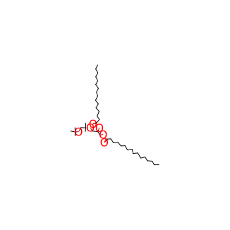 CCCCCCCCCCCCCCCC(=O)OCC(COC(C)(C)COC(C)(C)C)OC(=O)CCCCCCCCCCCCCCC